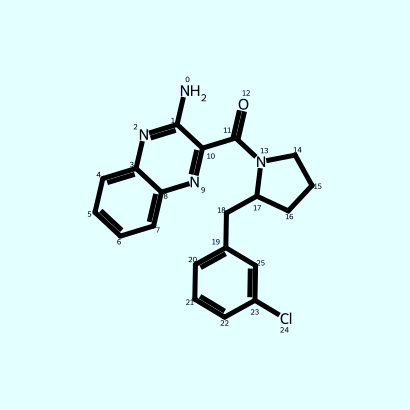 Nc1nc2ccccc2nc1C(=O)N1CCCC1Cc1cccc(Cl)c1